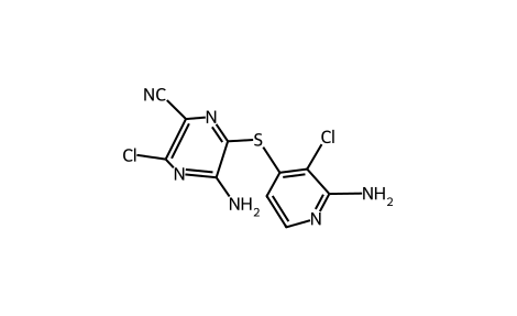 N#Cc1nc(Sc2ccnc(N)c2Cl)c(N)nc1Cl